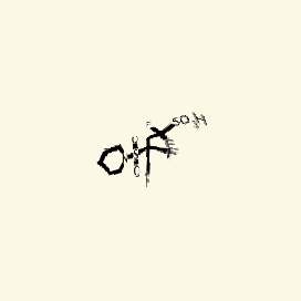 O=S(=O)(O)C(F)(F)CC(F)(F)S(=O)(=O)N1CCCCC1